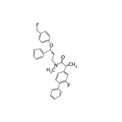 C[C@H](C(=O)N(C)CC[C@H](Oc1ccc(CF)cc1)c1ccccc1)c1ccc(-c2ccccc2)c(F)c1